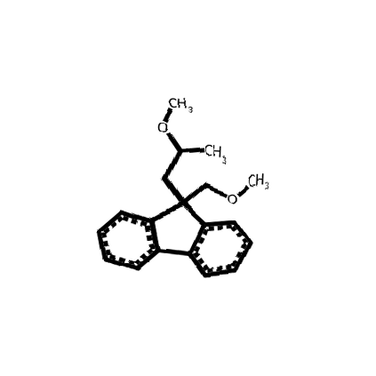 COCC1(CC(C)OC)c2ccccc2-c2ccccc21